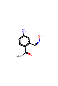 COC(=O)c1ccc(N)cc1/C=N\O